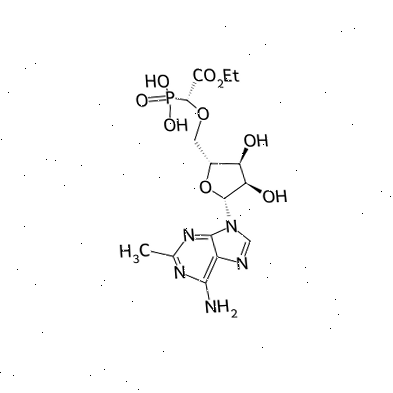 CCOC(=O)[C@H](OC[C@H]1O[C@@H](n2cnc3c(N)nc(C)nc32)[C@H](O)[C@@H]1O)P(=O)(O)O